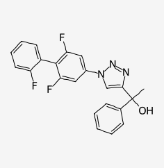 CC(O)(c1ccccc1)c1cn(-c2cc(F)c(-c3ccccc3F)c(F)c2)nn1